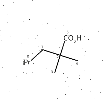 CC(C)CC(C)(C)C(=O)O